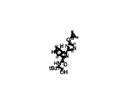 CC(C)(C)C(CO)NC(=O)c1nn(-c2cncc(OC3CC3)n2)c2c1C[C@@H]1C[C@H]21